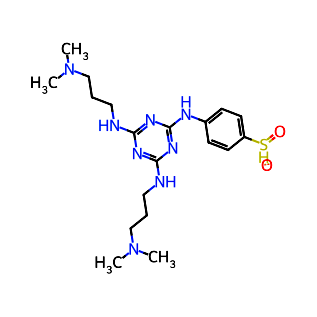 CN(C)CCCNc1nc(NCCCN(C)C)nc(Nc2ccc([SH](=O)=O)cc2)n1